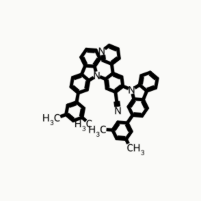 Cc1cc(C)cc(-c2ccc3c4ccccc4n(-c4cc(-c5cccnc5)c(-n5c6ccccc6c6ccc(-c7cc(C)cc(C)c7)cc65)cc4C#N)c3c2)c1